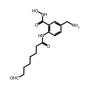 NCc1ccc(NC(=O)CCCCCC[C]=O)c(C(=O)NO)c1